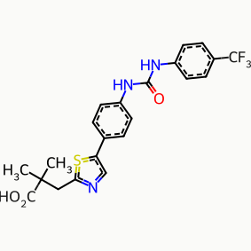 CC(C)(Cc1ncc(-c2ccc(NC(=O)Nc3ccc(C(F)(F)F)cc3)cc2)s1)C(=O)O